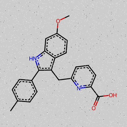 COc1ccc2c(Cc3cccc(C(=O)O)n3)c(-c3ccc(C)cc3)[nH]c2c1